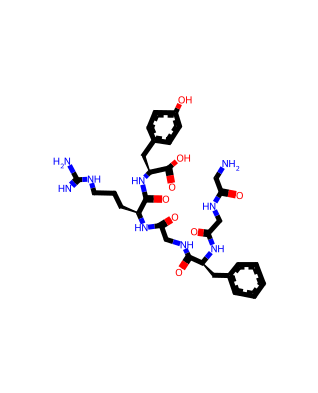 N=C(N)NCCC[C@H](NC(=O)CNC(=O)[C@H](Cc1ccccc1)NC(=O)CNC(=O)CN)C(=O)N[C@@H](Cc1ccc(O)cc1)C(=O)O